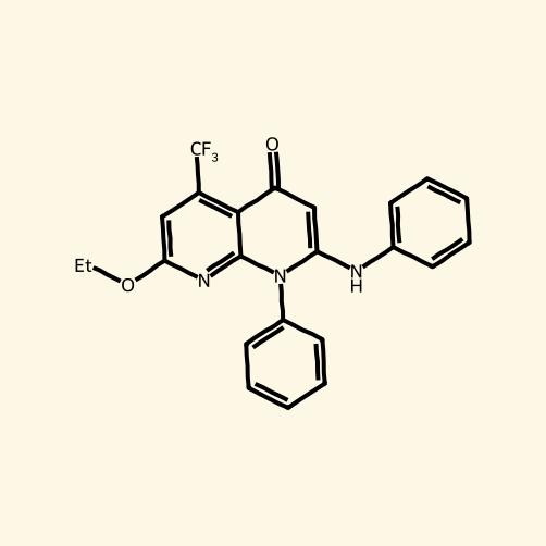 CCOc1cc(C(F)(F)F)c2c(=O)cc(Nc3ccccc3)n(-c3ccccc3)c2n1